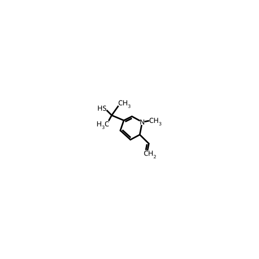 C=CC1C=CC(C(C)(C)S)=CN1C